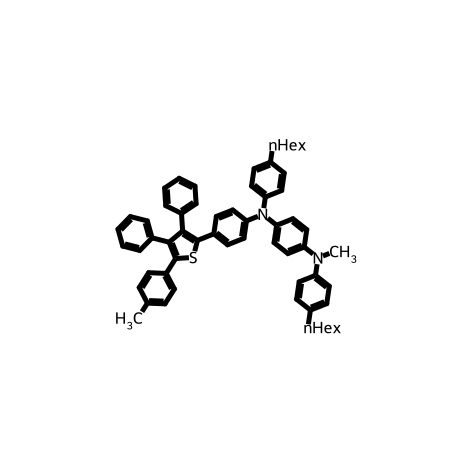 CCCCCCc1ccc(N(C)c2ccc(N(c3ccc(CCCCCC)cc3)c3ccc(-c4sc(-c5ccc(C)cc5)c(-c5ccccc5)c4-c4ccccc4)cc3)cc2)cc1